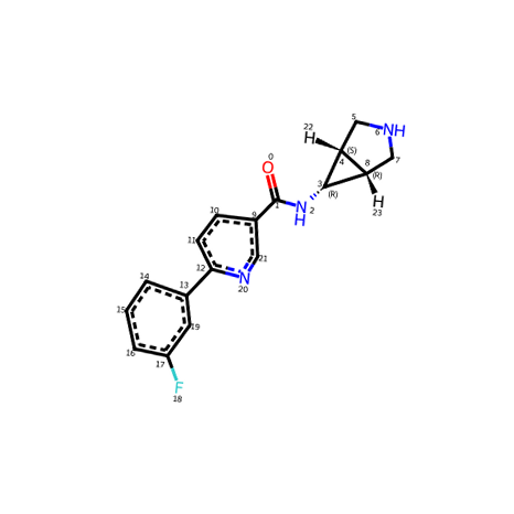 O=C(N[C@@H]1[C@@H]2CNC[C@@H]21)c1ccc(-c2cccc(F)c2)nc1